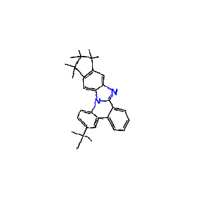 CC(C)(C)c1ccc2c(c1)c1ccccc1c1nc3cc4c(cc3n21)C(C)(C)C(C)(C)C4(C)C